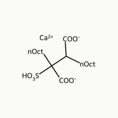 CCCCCCCCC(C(=O)[O-])C(CCCCCCCC)(C(=O)[O-])S(=O)(=O)O.[Ca+2]